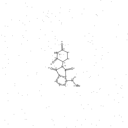 CN(c1cccc2c1C(=O)N(C1CCC(=O)NC1=O)C2=O)C(C)(C)C